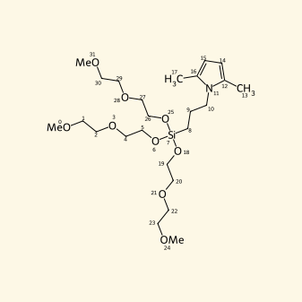 COCCOCCO[Si](CCCn1c(C)ccc1C)(OCCOCCOC)OCCOCCOC